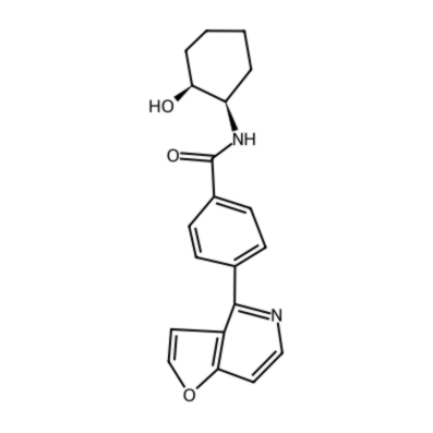 O=C(N[C@@H]1CCCC[C@@H]1O)c1ccc(-c2nccc3occc23)cc1